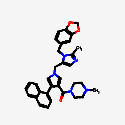 Cc1ncc(Cn2cc(C(=O)N3CCN(C)CC3)c(-c3cccc4ccccc34)c2)n1Cc1ccc2c(c1)OCO2